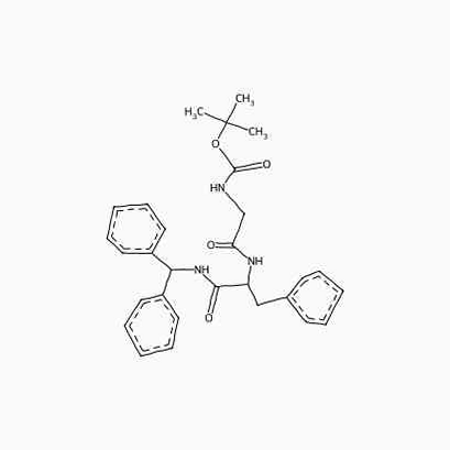 CC(C)(C)OC(=O)NCC(=O)NC(Cc1ccccc1)C(=O)NC(c1ccccc1)c1ccccc1